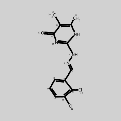 Cc1[nH]c(N/N=C/c2cccc(Cl)c2Cl)nc(=O)c1C